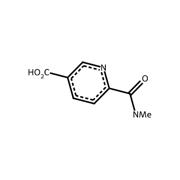 CNC(=O)c1ccc(C(=O)O)cn1